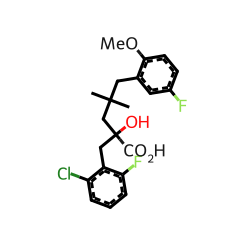 COc1ccc(F)cc1CC(C)(C)CC(O)(Cc1c(F)cccc1Cl)C(=O)O